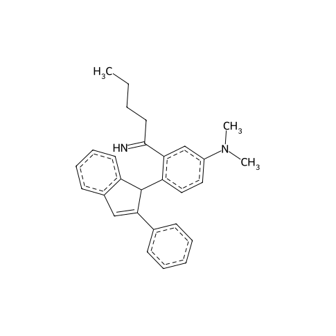 CCCCC(=N)c1cc(N(C)C)ccc1C1C(c2ccccc2)=Cc2ccccc21